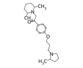 CC1CCCN1CCCOc1ccc(C(=O)CN2C(C)CCCC2C)cc1